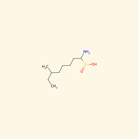 CCC(C)CCCCC(N)S(=O)O